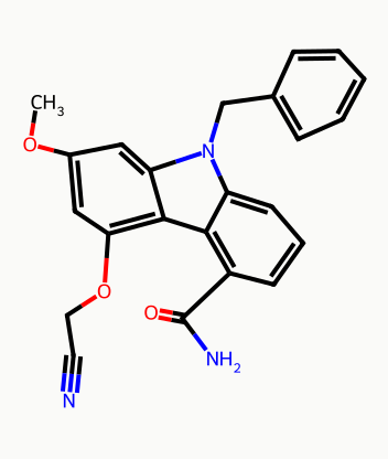 COc1cc(OCC#N)c2c3c(C(N)=O)cccc3n(Cc3ccccc3)c2c1